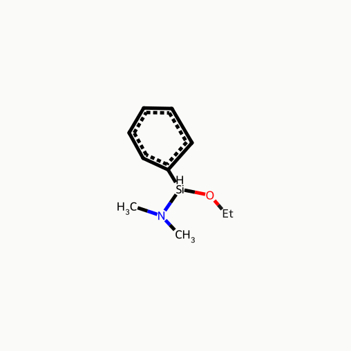 CCO[SiH](c1ccccc1)N(C)C